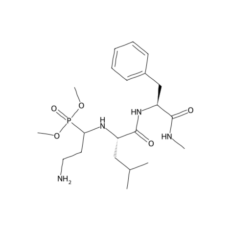 CNC(=O)[C@H](Cc1ccccc1)NC(=O)[C@H](CC(C)C)NC(CCN)P(=O)(OC)OC